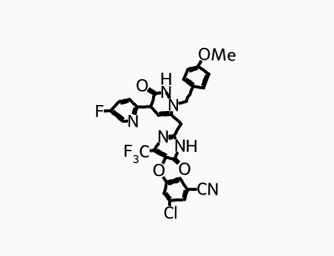 COc1ccc(CN2NC(=O)C(c3ccc(F)cn3)C=C2Cc2nc(C(F)(F)F)c(Oc3cc(Cl)cc(C#N)c3)c(=O)[nH]2)cc1